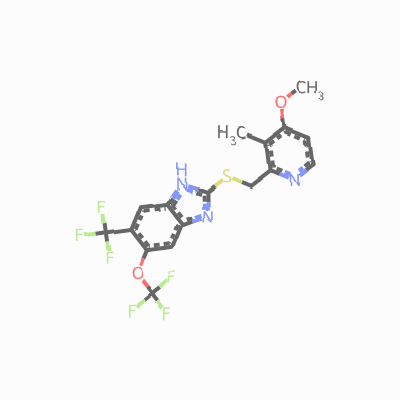 COc1ccnc(CSc2nc3cc(OC(F)(F)F)c(C(F)(F)F)cc3[nH]2)c1C